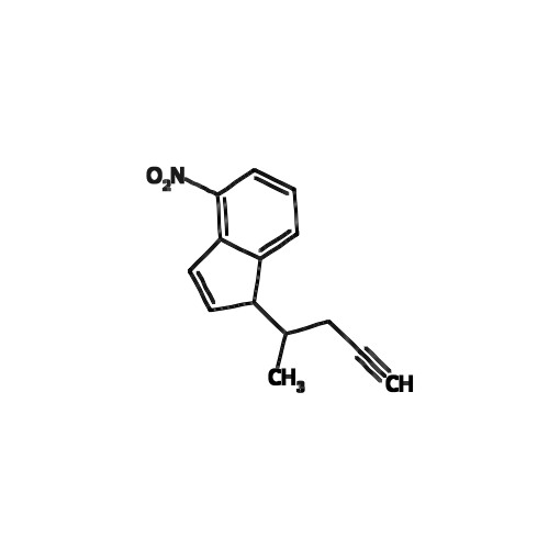 C#CCC(C)C1C=Cc2c1cccc2[N+](=O)[O-]